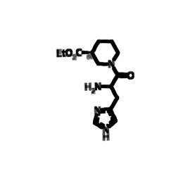 CCOC(=O)[C@H]1CCCN(C(=O)C(N)Cc2c[nH]cn2)C1